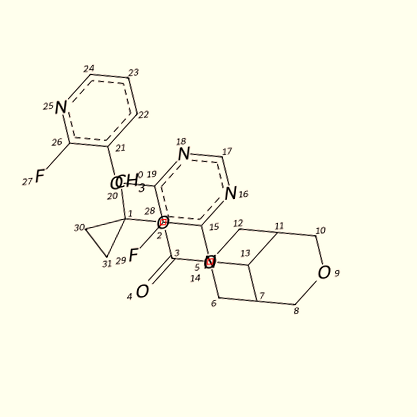 CC1(OC(=O)N2CC3COCC(C2)C3Oc2ncnc(Oc3cccnc3F)c2F)CC1